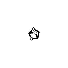 C1OC2OC1O2